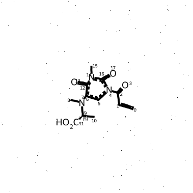 C=CC(=O)n1cc(N(C)[C@@H](C)C(=O)O)c(=O)n(C)c1=O